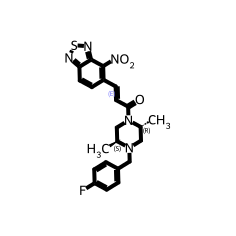 C[C@@H]1CN(Cc2ccc(F)cc2)[C@@H](C)CN1C(=O)/C=C/c1ccc2nsnc2c1[N+](=O)[O-]